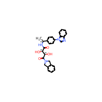 C[C@H](NC(=O)[C@H](O)[C@@H](O)C(=O)N1Cc2ccccc2C1)c1ccc(-n2cnc3ccccc32)cc1